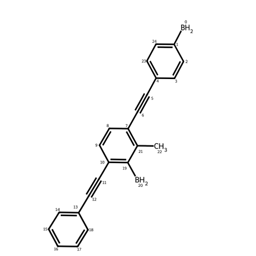 Bc1ccc(C#Cc2ccc(C#Cc3ccccc3)c(B)c2C)cc1